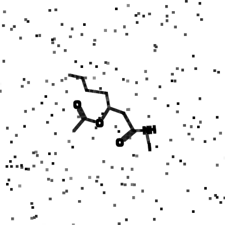 CCCCC(CC(=O)NI)OC(C)=O